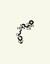 N#CC(=C1Nc2ccccc2O1)c1ccnc(NCCCC(=O)N2CCC3(CC2)OCCO3)n1